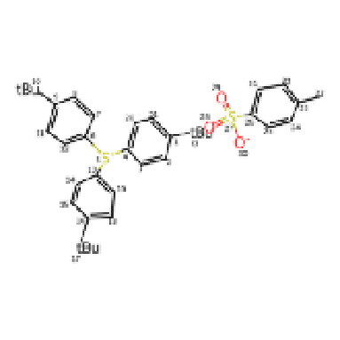 CC(C)(C)c1ccc([S+](c2ccc(C(C)(C)C)cc2)c2ccc(C(C)(C)C)cc2)cc1.Cc1ccc(S(=O)(=O)[O-])cc1